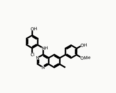 COc1cc(-c2cc3c(Nc4cc(O)ccc4Cl)ncnc3cc2C)ccc1O